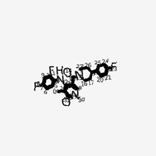 Cc1c(Nc2ccc(F)cc2F)c(C(=O)N2CCC(c3ccc(F)cc3)CC2)cn(C)c1=O